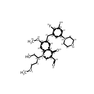 COCC[C@@H](CO)n1cc(C=O)c(=O)c2cc(Cc3cc(N4CCOCC4)cc(I)c3F)c(OC)cc21